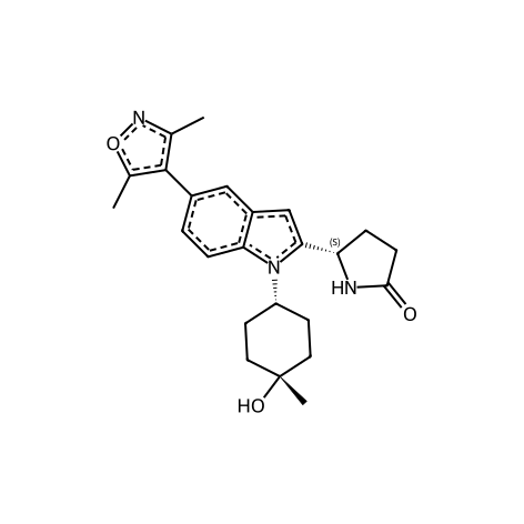 Cc1noc(C)c1-c1ccc2c(c1)cc([C@@H]1CCC(=O)N1)n2[C@H]1CC[C@@](C)(O)CC1